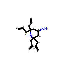 C=CCC1(CC=C)CC([NH])CC(CC=C)(CC=C)N1